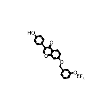 O=c1c(-c2ccc(O)cc2)coc2cc(OCc3cccc(OC(F)(F)F)c3)ccc12